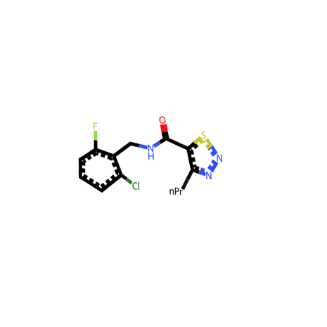 CCCc1nnsc1C(=O)NCc1c(F)cccc1Cl